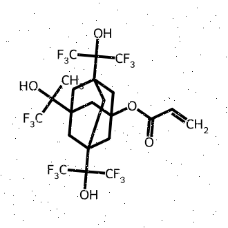 C=CC(=O)OC12CC3(C(C)(O)C(F)(F)F)CC(C(O)(C(F)(F)F)C(F)(F)F)(C1)CC(C(O)(C(F)(F)F)C(F)(F)F)(C2)C3